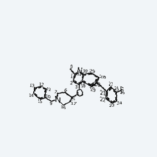 Cc1cc(OC2CCN(Cc3ccccc3)CC2)c2cc(-c3cccc(F)c3)ccc2n1